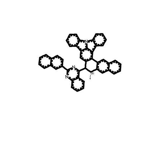 C[C@H]1c2cc3ccccc3cc2-c2c(cc3c4ccccc4n4c5ccccc5c2c34)C1c1nc(-c2ccc3ccccc3c2)nc2ccccc12